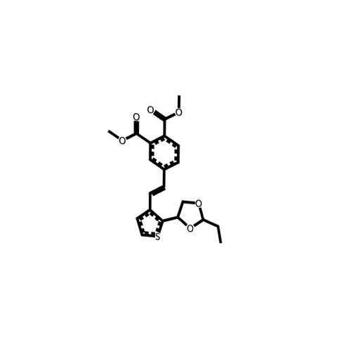 CCC1OCC(c2sccc2C=Cc2ccc(C(=O)OC)c(C(=O)OC)c2)O1